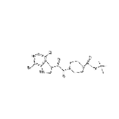 CC(C)(C)OC(=O)N1CCN(C(=O)C(=O)C2CNc3c(Br)ncc(Cl)c32)CC1